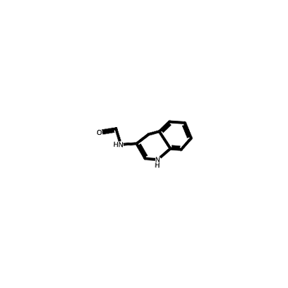 O=CNC1=CNc2ccccc2C1